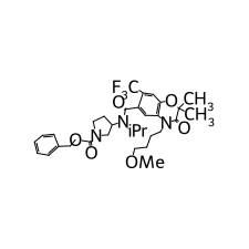 COCCCCN1C(=O)C(C)(C)Oc2cc(C(F)(F)F)c(C(=O)N(C(C)C)C3CCN(C(=O)OCc4ccccc4)C3)cc21